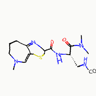 CN1C=C2SC(C(=O)N[C@@H](CNC(=O)O)C(=O)N(C)C)N=C2CCC1